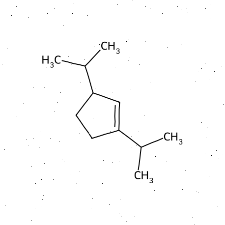 CC(C)C1=CC(C(C)C)CC1